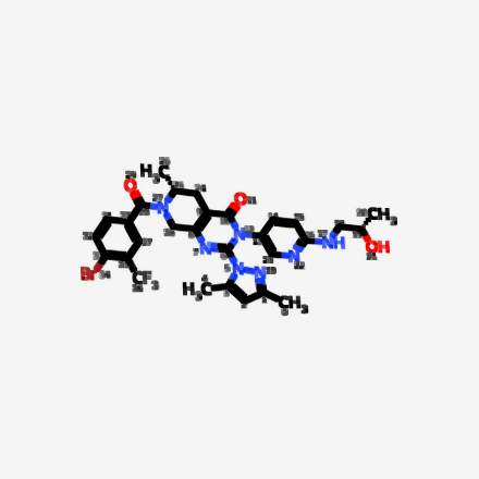 Cc1cc(C)n(-c2nc3c(c(=O)n2-c2ccc(NC[C@H](C)O)nc2)C[C@@H](C)N(C(=O)c2ccc(Br)c(C(F)(F)F)c2)C3)n1